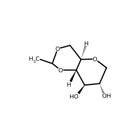 CC1OC[C@H]2OC[C@H](O)[C@@H](O)[C@@H]2O1